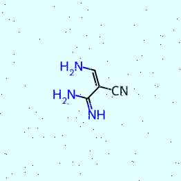 N#C/C(=C/N)C(=N)N